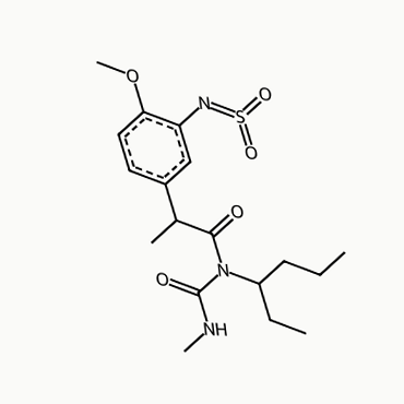 CCCC(CC)N(C(=O)NC)C(=O)C(C)c1ccc(OC)c(N=S(=O)=O)c1